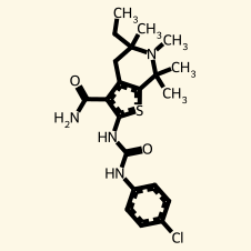 CCC1(C)Cc2c(sc(NC(=O)Nc3ccc(Cl)cc3)c2C(N)=O)C(C)(C)N1C